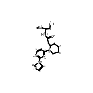 CCCCC(CO)NC(=O)CC1CCCCN1c1ccnc(-n2ccnc2)n1